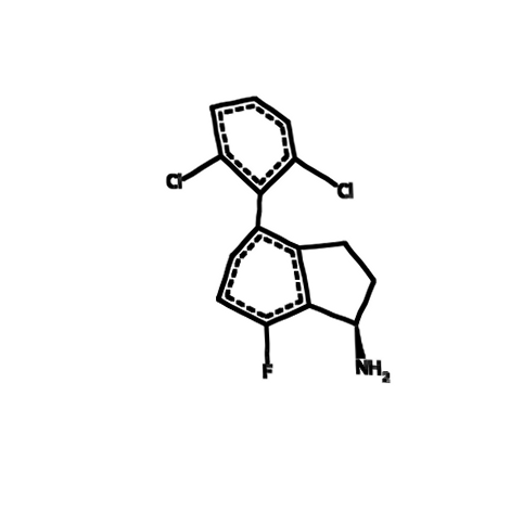 N[C@@H]1CCc2c(-c3c(Cl)cccc3Cl)ccc(F)c21